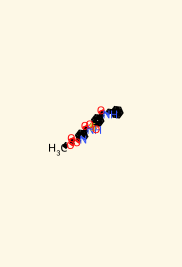 CCOC(=O)Oc1ccc(C(=O)NS(=O)(=O)c2ccc(C(=O)NCc3ccccc3)cc2)cn1